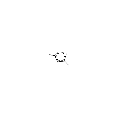 CCc1cc(Br)no1